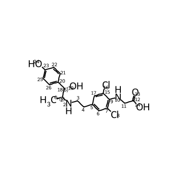 C[C@H](NCCc1cc(Cl)c(NCC(=O)O)c(Cl)c1)[C@@H](O)c1ccc(O)cc1